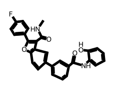 CNC(=O)c1c(-c2ccc(F)cc2)oc2ccc(-c3cccc(C(=O)Nc4ccccc4O)c3)cc12